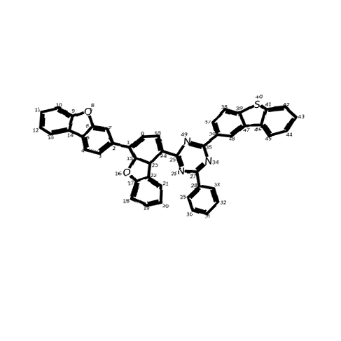 C1=C(c2ccc3c(c2)oc2ccccc23)C2Oc3ccccc3C2C(c2nc(-c3ccccc3)nc(-c3ccc4sc5ccccc5c4c3)n2)=C1